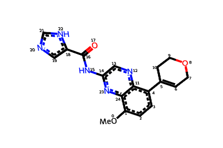 COc1ccc(C2=CCOCC2)c2ncc(NC(=O)c3cnc[nH]3)nc12